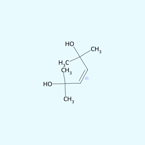 CC(C)(O)/C=C\C(C)(C)O